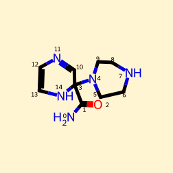 NC(=O)C1(N2CCNCC2)C=NC=CN1